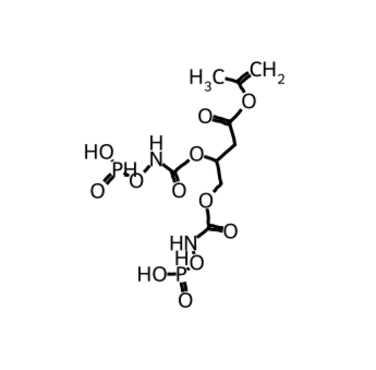 C=C(C)OC(=O)CC(COC(=O)NO[PH](=O)O)OC(=O)NO[PH](=O)O